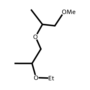 CCOC(C)COC(C)COC